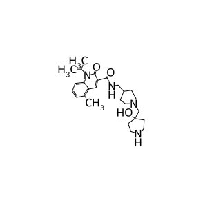 Cc1cccc2c1cc(C(=O)NCC1CCN(CC3(O)CCNCC3)CC1)c(=O)n2C(C)C